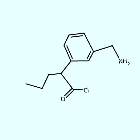 CCCC(C(=O)Cl)c1cccc(CN)c1